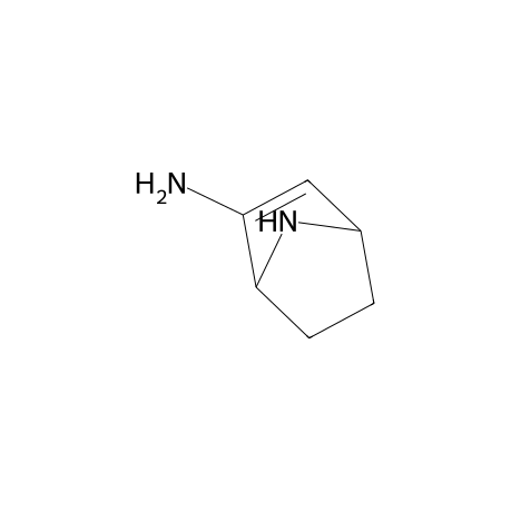 NC1=CC2CCC1N2